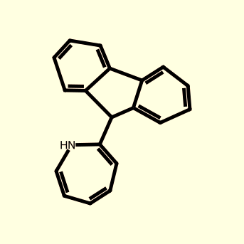 C1=CC=C(C2c3ccccc3-c3ccccc32)NC=C1